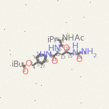 CCC(C)C(=O)OCc1ccc(NC(=O)[C@H](CCCNC(N)=O)NC(=O)[C@@H](NC(C)=O)C(C)C)cc1